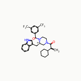 C=C(C(=O)N1CCN(C(=O)c2cc(C(F)(F)F)cc(C(F)(F)F)c2)[C@H](Cc2c[nH]c3ccccc23)C1)C1CCCCC1